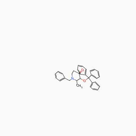 CC1C(OC(c2ccccc2)(c2ccccc2)c2ccccc2)C(=O)CCN1Cc1ccccc1